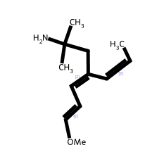 C\C=C/C(=C\C=C\OC)CC(C)(C)N